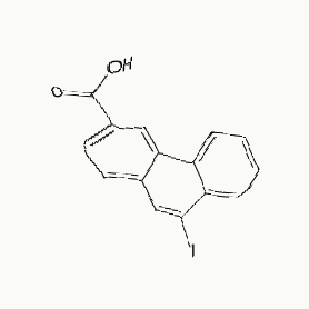 O=C(O)c1ccc2cc(I)c3ccccc3c2c1